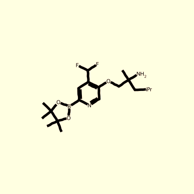 CC(C)CC(C)(N)COc1cnc(B2OC(C)(C)C(C)(C)O2)cc1C(F)F